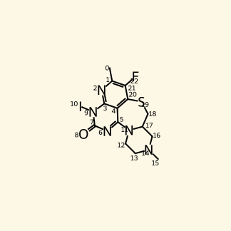 Cc1nc2c3c(nc(=O)n2I)N2CCN(C)CC2CSc3c1F